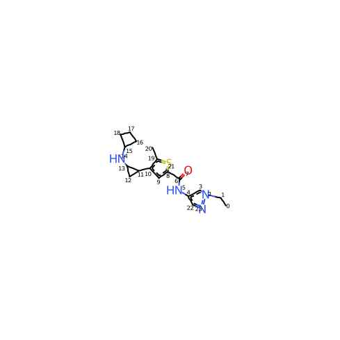 CCn1cc(NC(=O)c2cc(C3CC3NC3CCC3)c(C)s2)cn1